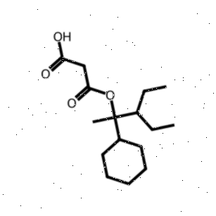 CCC(CC)C(C)(OC(=O)CC(=O)O)C1CCCCC1